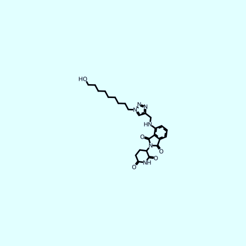 O=C1CCC(N2C(=O)c3cccc(NCc4cn(CCCCCCCCCO)nn4)c3C2=O)C(=O)N1